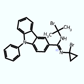 CC(C)(Br)N/C(=N\C1(Br)CC1)c1ccc2c(c1)c1ccccc1n2-c1ccccc1